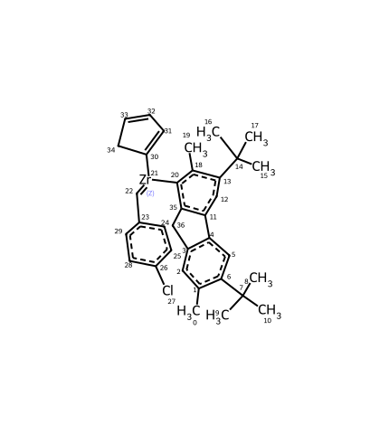 Cc1cc2c(cc1C(C)(C)C)-c1cc(C(C)(C)C)c(C)[c](/[Zr](=[CH]\c3ccc(Cl)cc3)[C]3=CC=CC3)c1C2